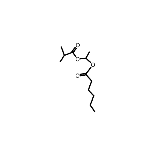 CCCCCC(=O)OC(C)OC(=O)C(C)C